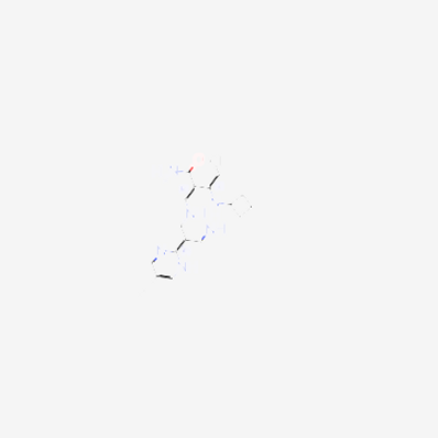 C/C=C(NC1CCC1)\C(=C/NC/C(C=N)=C1\N=CC(C)=CN1)C(N)=O